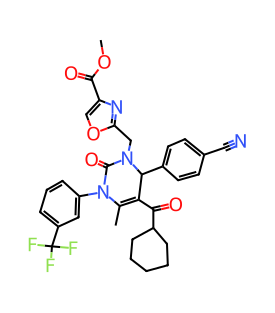 COC(=O)c1coc(CN2C(=O)N(c3cccc(C(F)(F)F)c3)C(C)=C(C(=O)C3CCCCC3)C2c2ccc(C#N)cc2)n1